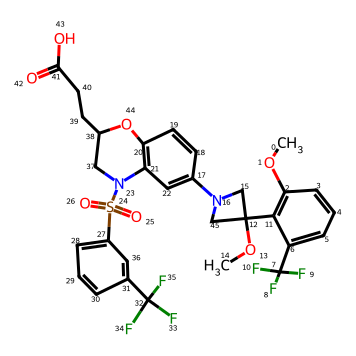 COc1cccc(C(F)(F)F)c1C1(OC)CN(c2ccc3c(c2)N(S(=O)(=O)c2cccc(C(F)(F)F)c2)CC(CCC(=O)O)O3)C1